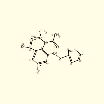 CC(=O)N(C(C)=O)c1c(OCc2ccccc2)cc(Br)cc1[N+](=O)[O-]